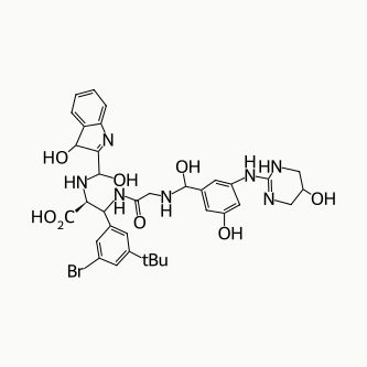 CC(C)(C)c1cc(Br)cc(C(NC(=O)CNC(O)c2cc(O)cc(NC3=NCC(O)CN3)c2)[C@H](NC(O)C2=Nc3ccccc3C2O)C(=O)O)c1